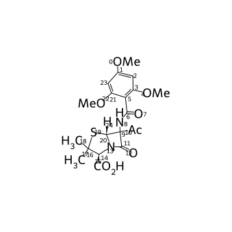 COc1cc(OC)c(C(=O)NC2(C(C)=O)C(=O)N3[C@@H](C(=O)O)C(C)(C)S[C@@H]32)c(OC)c1